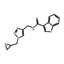 O=C(NCc1cn(CC2CO2)nn1)c1coc2ccccc12